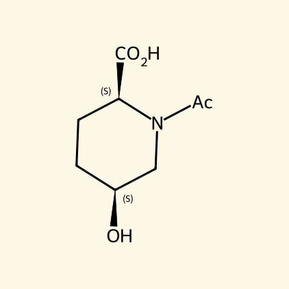 CC(=O)N1C[C@@H](O)CC[C@H]1C(=O)O